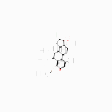 C=C1C2=C(SCC)C(=O)C=C(C)[C@]2(C)[C@H]2CC[C@]3(C)C(=O)[C@H](F)C[C@H]3[C@@H]2[C@@H]1C